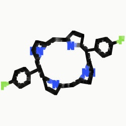 Fc1ccc(-c2c3nc(cc4ccc([nH]4)c(-c4ccc(F)cc4)c4nc(cc5ccc2[nH]5)C=C4)C=C3)cc1